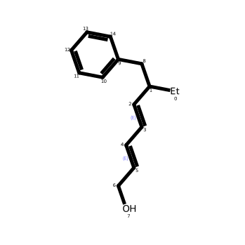 CCC(/C=C/C=C/CO)Cc1ccccc1